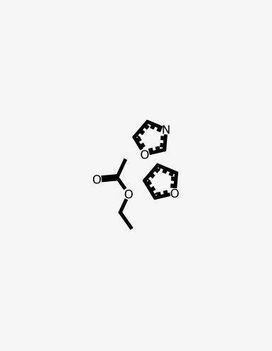 CCOC(C)=O.c1ccoc1.c1cocn1